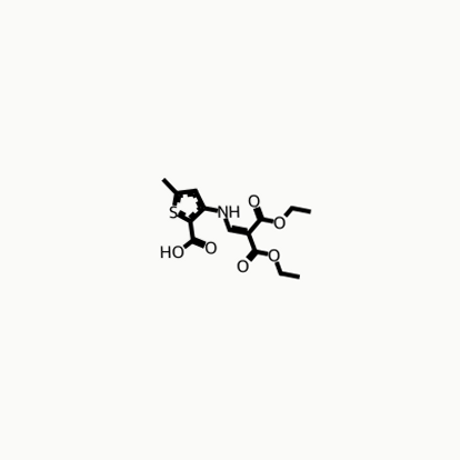 CCOC(=O)C(=CNc1cc(C)sc1C(=O)O)C(=O)OCC